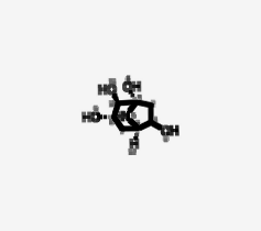 OC1C[C@@]2(O)N[C@@H]1C[C@H](O)[C@H]2O